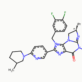 CCN1C(=O)c2nc(-c3ccc(N4CCCC(C)C4)nc3)n(Cc3ccc(F)c(F)c3)c2N2C[C@@H](C(C)C)N=C12